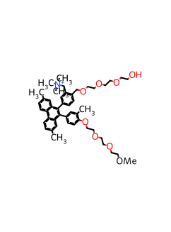 COCCOCCOCCOc1ccc(-c2c(-c3ccc(COCCOCCOCCO)c(C[N+](C)(C)C)c3)c3cc(C)ccc3c3ccc(C)cc23)cc1C